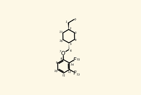 CC[C@H]1CC[C@H](COc2cccc(F)c2F)CC1